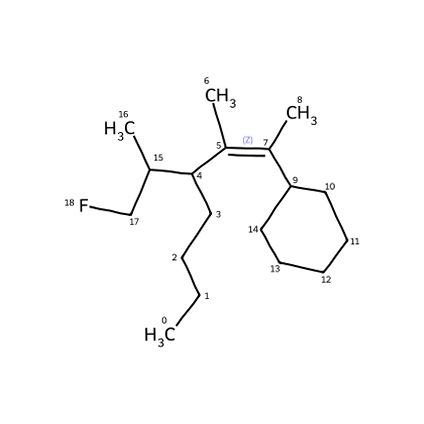 CCCCC(/C(C)=C(/C)C1CCCCC1)C(C)CF